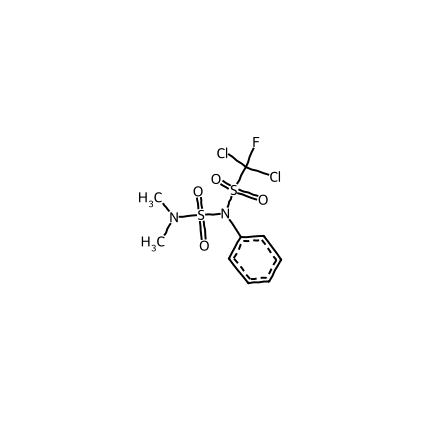 CN(C)S(=O)(=O)N(c1ccccc1)S(=O)(=O)C(F)(Cl)Cl